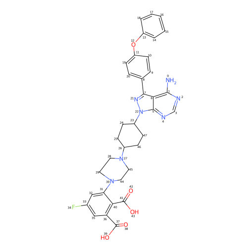 Nc1ncnc2c1c(-c1ccc(Oc3ccccc3)cc1)nn2C1CCC(N2CCN(c3cc(F)cc(C(=O)O)c3C(=O)O)CC2)CC1